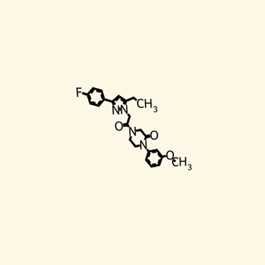 CCc1cc(-c2ccc(F)cc2)nn1CC(=O)N1CCN(c2cccc(OC)c2)C(=O)C1